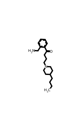 CCCCC1CCN(CCCC(=O)c2ccccc2CN)CC1